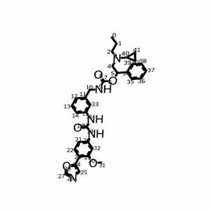 CCCN(CC(OC(=O)NCc1cccc(NC(=O)Nc2ccc(-c3cnco3)c(OC)c2)c1)c1ccccc1)C1CC1